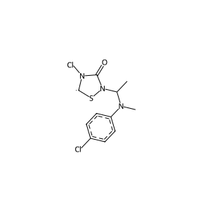 CC(N1S[CH]N(Cl)C1=O)N(C)c1ccc(Cl)cc1